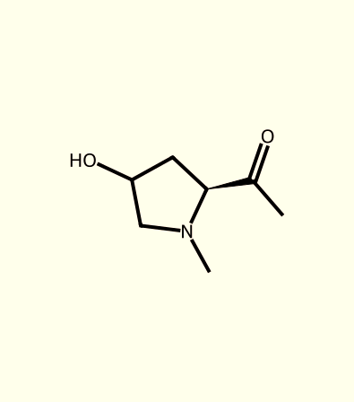 CC(=O)[C@@H]1CC(O)CN1C